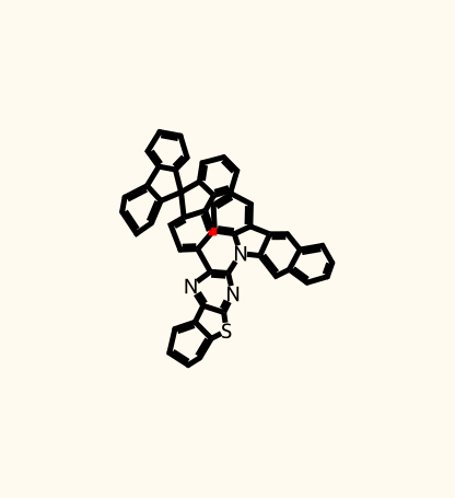 c1ccc2c(c1)-c1ccccc1C21c2ccccc2-c2cc(-c3nc4c(nc3-n3c5ccccc5c5cc6ccccc6cc53)sc3ccccc34)ccc21